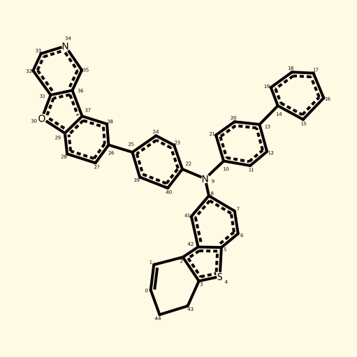 C1=Cc2c(sc3ccc(N(c4ccc(-c5ccccc5)cc4)c4ccc(-c5ccc6oc7ccncc7c6c5)cc4)cc23)CC1